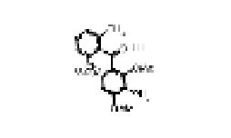 COc1cc(OC)c(C(=O)c2c(C)cccc2C)c(OC)c1P.[LiH]